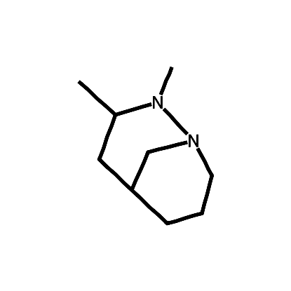 CC1CC2CCCN(C2)N1C